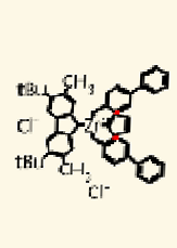 Cc1cc2c(cc1C(C)(C)C)-c1cc(C(C)(C)C)c(C)cc1[CH]2[Zr+2](=[CH]c1ccc(-c2ccccc2)cc1)(=[CH]c1ccc(-c2ccccc2)cc1)[C]1=CC=CC1.[Cl-].[Cl-]